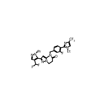 CCn1cc(C(F)(F)F)nc1-c1ccc(CN2C(=O)CCn3nc(-c4c(C(F)F)cnn4C(C)C)cc32)cc1F